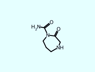 NC(=O)N1CCCNCC1=O